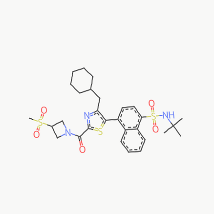 CC(C)(C)NS(=O)(=O)c1ccc(-c2sc(C(=O)N3CC(S(C)(=O)=O)C3)nc2CC2CCCCC2)c2ccccc12